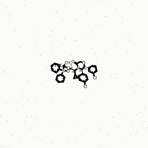 CC(C)(C)[Si](OC[C@H](C1CC1)N1C(=O)CO[C@H](c2cccc(Cl)c2)[C@H]1c1ccc(Cl)cc1)(c1ccccc1)c1ccccc1